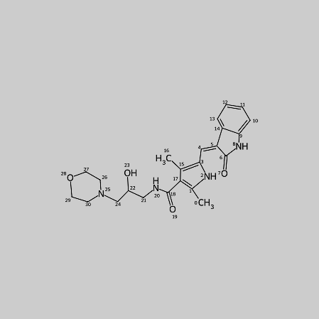 Cc1[nH]c(/C=C2\C(=O)Nc3ccccc32)c(C)c1C(=O)NCC(O)CN1CCOCC1